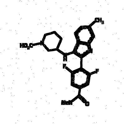 CNC(=O)c1cc(F)c(-c2nc3cc(C)ccn3c2NC2CCCN(C(=O)O)C2)c(F)c1